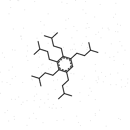 CC(C)CCc1[c]c(CCC(C)C)c(CCC(C)C)c(CCC(C)C)c1CCC(C)C